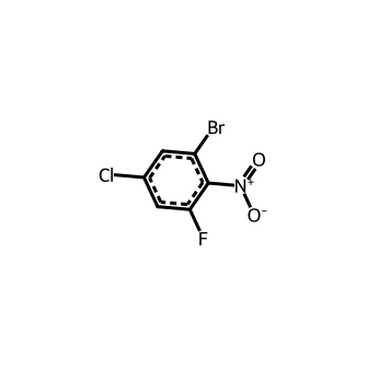 O=[N+]([O-])c1c(F)cc(Cl)cc1Br